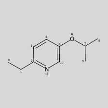 CCc1ccc(OC(C)C)cn1